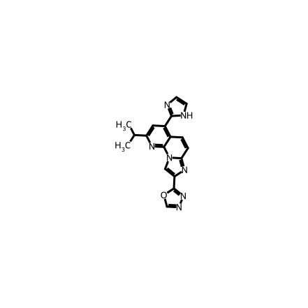 CC(C)c1cc(-c2ncc[nH]2)c2ccc3nc(-c4nnco4)cn3c2n1